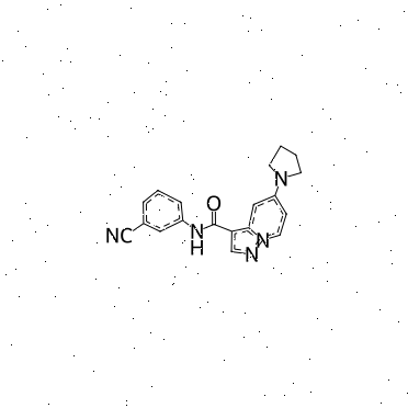 N#Cc1cccc(NC(=O)c2cnn3ccc(N4CCCC4)cc23)c1